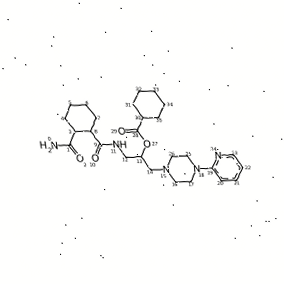 NC(=O)C1CCCCC1C(=O)NCC(CN1CCN(c2ccccn2)CC1)OC(=O)C1CCCCC1